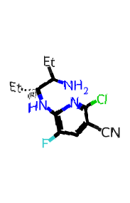 CCC(N)[C@@H](CC)Nc1nc(Cl)c(C#N)cc1F